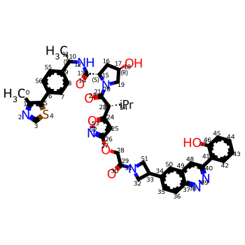 Cc1ncsc1-c1ccc([C@H](C)NC(=O)[C@@H]2C[C@@H](O)CN2C(=O)[C@@H](c2cc(OCC(=O)N3CC(c4ccc5nnc(-c6ccccc6O)cc5c4)C3)no2)C(C)C)cc1